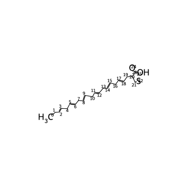 CCC=CCC=CCC=CCC=CCC=CCC=CCC(C=S)C(=O)O